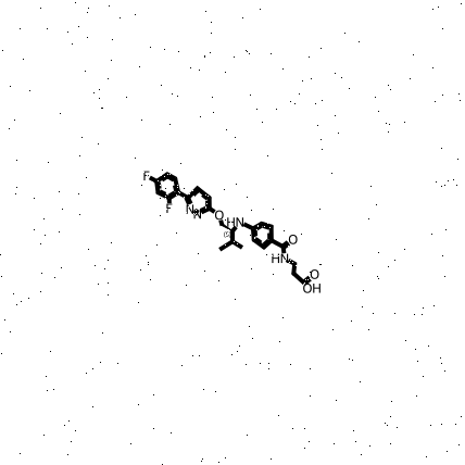 CC(C)[C@@H](COc1ccc(-c2ccc(F)cc2F)nn1)Nc1ccc(C(=O)NCCC(=O)O)cc1